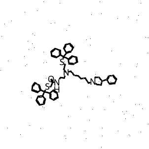 O=C(CSC(c1ccccc1)(c1ccccc1)c1ccccc1)NCCN(CCCCCCN1CCC(c2ccccc2)CC1)CCSC(c1ccccc1)(c1ccccc1)c1ccccc1